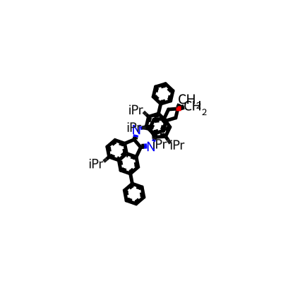 C=CCc1cc(C(C)C)c(/N=C2\C(=N/c3c(C(C)C)cc(CC=C)c(-c4ccccc4)c3C(C)C)c3ccc(C(C)C)c4cc(-c5ccccc5)cc2c34)c(C(C)C)c1